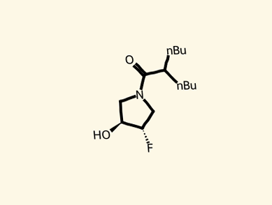 CCCCC(CCCC)C(=O)N1C[C@H](O)[C@@H](F)C1